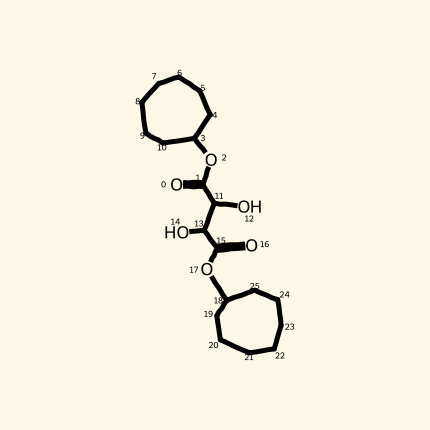 O=C(OC1CCCCCCC1)C(O)C(O)C(=O)OC1CCCCCCC1